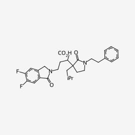 CC(C)CC1(C(CCN2Cc3cc(F)c(F)cc3C2=O)C(=O)O)CCN(CCc2ccccc2)C1=O